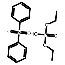 CCOP(=O)(O)OCC.O=S(=O)(c1ccccc1)c1ccccc1